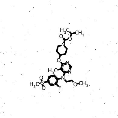 COCCN(c1ccc(S(C)(=O)=O)cc1F)c1ncnc(OC2CCN(C(=O)OC(C)C)CC2)c1C